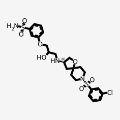 NS(=O)(=O)c1cccc(OCC(O)CN[C@H]2COC3(CCN(S(=O)(=O)c4cccc(Cl)c4)CC3)C2)c1